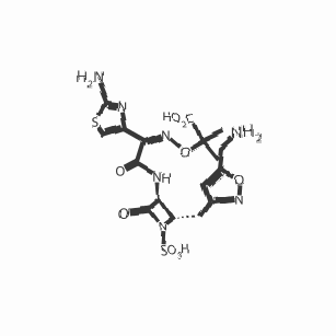 CC(C)(ON=C(C(=O)N[C@@H]1C(=O)N(S(=O)(=O)O)[C@H]1Cc1cc(CN)on1)c1csc(N)n1)C(=O)O